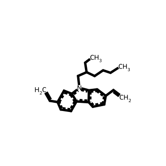 C=Cc1ccc2c3ccc(C=C)cc3n(CC(CC)CCCC)c2c1